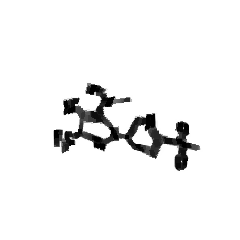 CC(C)N(C)c1c(C#N)c(C(F)(F)F)nn1-c1ccc(S(C)(=O)=O)nc1